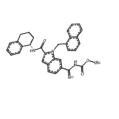 CC(C)(C)OC(=O)NC(=N)c1ccc2cc(C(=O)N[C@H]3CCCc4ccccc43)n(Cc3cccc4ccccc34)c2c1